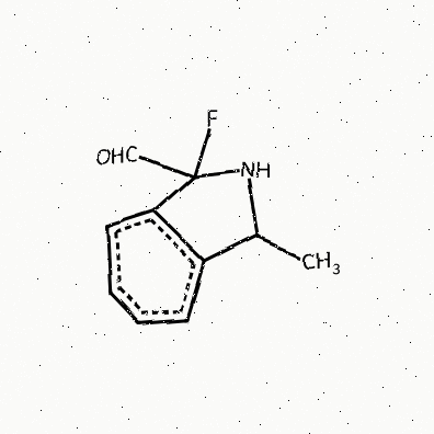 CC1NC(F)(C=O)c2ccccc21